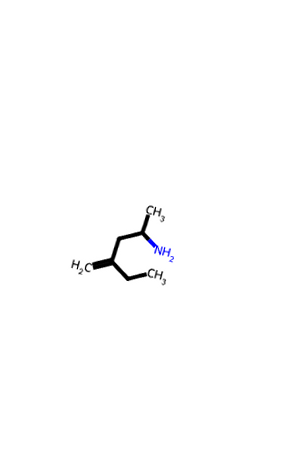 C=C(CC)CC(C)N